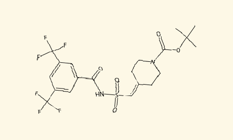 CC(C)(C)OC(=O)N1CCC(=CS(=O)(=O)NC(=O)c2cc(C(F)(F)F)cc(C(F)(F)F)c2)CC1